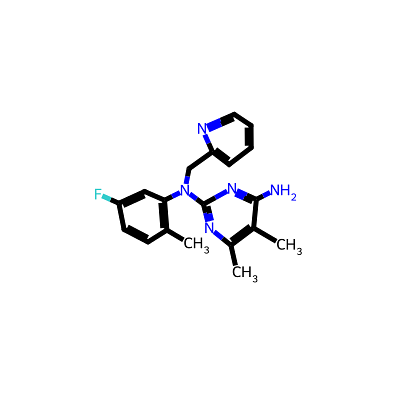 Cc1ccc(F)cc1N(Cc1ccccn1)c1nc(C)c(C)c(N)n1